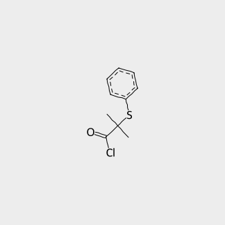 CC(C)(Sc1ccccc1)C(=O)Cl